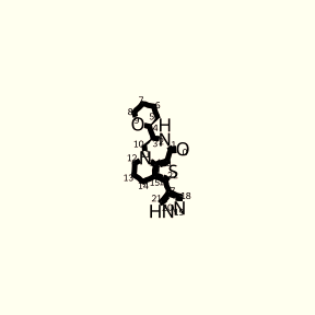 O=C1N[C@H]([C@@H]2CCCCO2)CN2CCCc3c(-c4cn[nH]c4)sc1c32